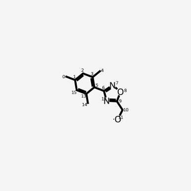 Cc1cc(C)c(-c2noc(C[O])n2)c(C)c1